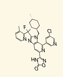 Cc1cccnc1C(C)(F)c1nc2cc(-c3noc(=O)[nH]3)nc(-c3cncc(Cl)c3)c2n1C[C@H]1CC[C@H](C)CC1